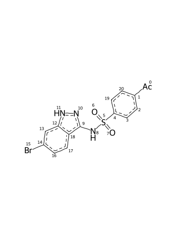 CC(=O)c1ccc(S(=O)(=O)Nc2n[nH]c3cc(Br)ccc23)cc1